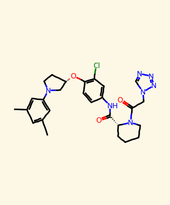 Cc1cc(C)cc(N2CC[C@H](Oc3ccc(NC(=O)[C@H]4CCCCN4C(=O)Cn4cnnn4)cc3Cl)C2)c1